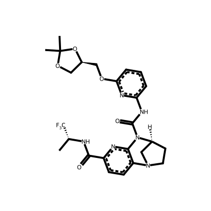 C[C@@H](NC(=O)c1ccc2c(n1)N(C(=O)Nc1cccc(OC[C@H]3COC(C)(C)O3)n1)[C@H]1CCN2C1)C(F)(F)F